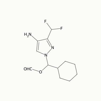 Nc1cn(C(OC=O)C2CCCCC2)nc1C(F)F